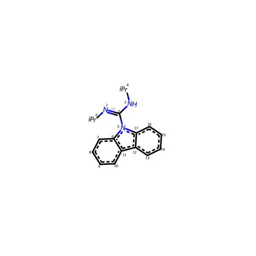 CC(C)/N=C(/NC(C)C)n1c2ccccc2c2ccccc21